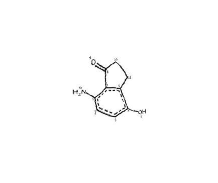 Nc1ccc(O)c2c1C(=O)CC2